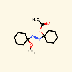 COC1(N=NC2(OC(C)=O)CCCCC2)CCCCC1